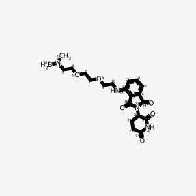 BN(C)CCOCCOCCNc1cccc2c1C(=O)N(C1CCC(=O)NC1=O)C2=O